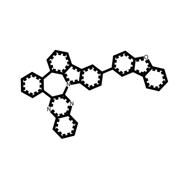 c1ccc2c(c1)-c1nc3ccccc3nc1-n1c3ccc(-c4ccc5oc6ccccc6c5c4)cc3c3cccc-2c31